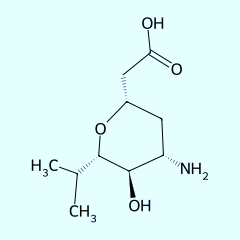 CC(C)[C@@H]1O[C@H](CC(=O)O)C[C@H](N)[C@H]1O